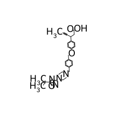 CC#CC(CC(=O)O)c1ccc(OCc2ccc(CN3CCN(c4noc(C(C)C)n4)CC3)cc2)cc1